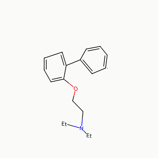 CCN(CC)CCOc1ccccc1-c1c[c]ccc1